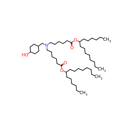 CCCCCCCCC(CCCCCC)OC(=O)CCCCCN(CCCCCC(=O)OC(CCCCCC)CCCCCCCC)CC1CCC(O)CC1